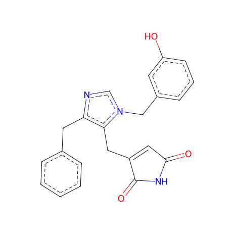 O=C1C=C(Cc2c(Cc3ccccc3)ncn2Cc2cccc(O)c2)C(=O)N1